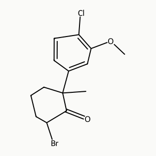 COc1cc(C2(C)CCCC(Br)C2=O)ccc1Cl